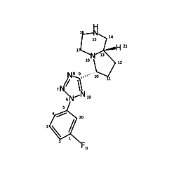 Fc1cccc(-n2nnc([C@H]3CC[C@H]4CNCCN43)n2)c1